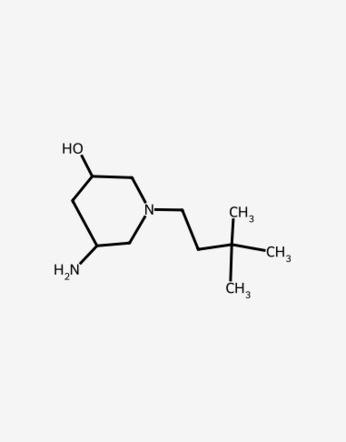 CC(C)(C)CCN1CC(N)CC(O)C1